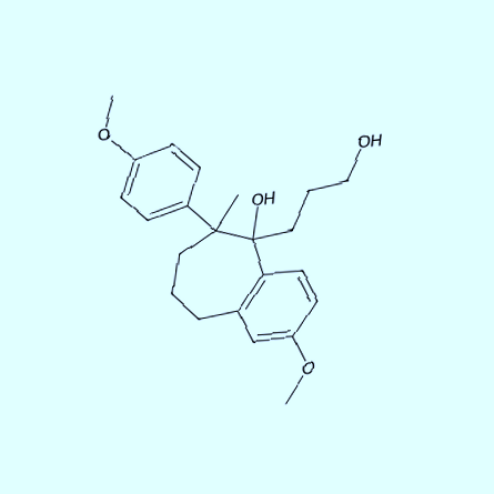 COc1ccc(C2(C)CCCc3cc(OC)ccc3C2(O)CCCO)cc1